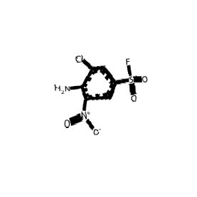 Nc1c(Cl)cc(S(=O)(=O)F)cc1[N+](=O)[O-]